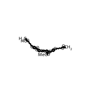 C=CC(=O)OCCCCCCOc1ccc(COOc2ccc(/C=N/N=C/c3ccc(OC(=O)c4ccc(OCCCCCCOC(O)C=C)cc4)cc3)cc2C(=O)OC)cc1